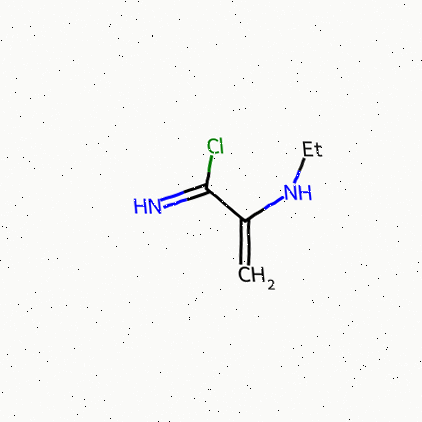 C=C(NCC)C(=N)Cl